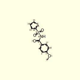 COc1ccc(C(=O)NS(=O)(=O)c2cccs2)cc1